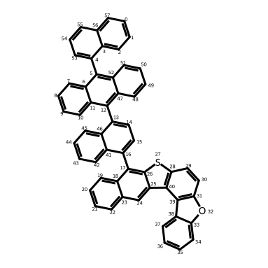 c1ccc2c(-c3c4ccccc4c(-c4ccc(-c5c6ccccc6cc6c5sc5ccc7oc8ccccc8c7c56)c5ccccc45)c4ccccc34)cccc2c1